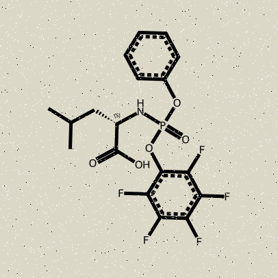 CC(C)C[C@H](NP(=O)(Oc1ccccc1)Oc1c(F)c(F)c(F)c(F)c1F)C(=O)O